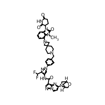 Cn1c(=O)n(C2CCC(=O)NC2=O)c2cccc(N3CC4(CCN(Cc5ccc(-n6cc(NC(=O)c7cnn8ccc(N9C[C@H]%10C[C@@H]9CO%10)nc78)c(C(F)F)n6)cc5)CC4)C3)c21